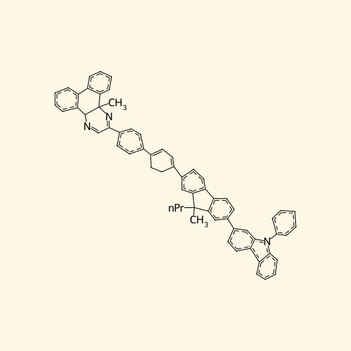 CCCC1(C)c2cc(C3=CC=C(c4ccc(C5=NC6(C)c7ccccc7-c7ccccc7C6N=C5)cc4)CC3)ccc2-c2ccc(-c3ccc4c5ccccc5n(-c5ccccc5)c4c3)cc21